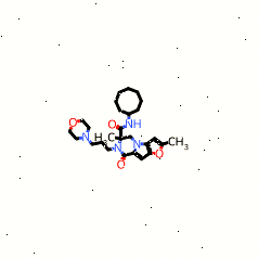 Cc1cc2c(cc3n2CC(C)(C(=O)NC2CCCCCCC2)N(CCCN2CCOCC2)C3=O)o1